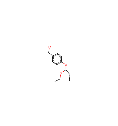 CCOC(CC)Oc1ccc(CO)cc1